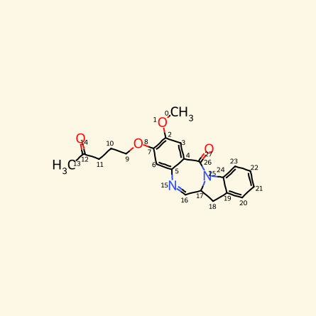 COc1cc2c(cc1OCCCC(C)=O)N=CC1Cc3ccccc3N1C2=O